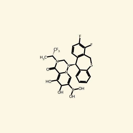 C[C@@H](N1CN([C@@H]2c3ccccc3SCc3c2ccc(F)c3F)N2C=C(B(O)O)C(O)C(O)=C2C1=O)C(F)(F)F